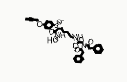 CC#CCOc1ccc([S+]([O-])C(CCCCNC(=O)CN(C(=O)Cc2ccccc2)C(=O)Cc2ccccc2)C(=O)NO)cc1